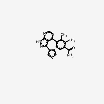 Cc1c(C(N)=O)ccc(-c2ccnc3[nH]nc(-c4ccsc4)c23)c1C